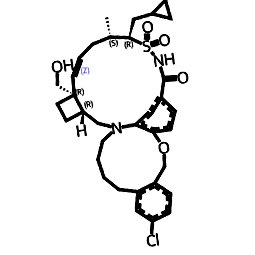 C[C@H]1C/C=C\[C@]2(CO)CC[C@H]2CN2CCCCc3cc(Cl)ccc3COc3ccc(cc32)C(=O)NS(=O)(=O)[C@@H]1CC1CC1